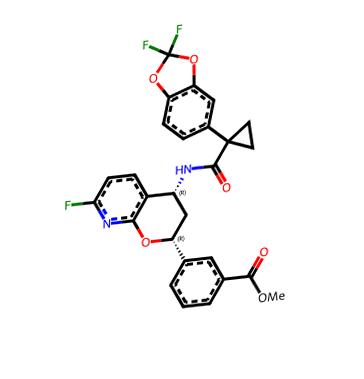 COC(=O)c1cccc([C@H]2C[C@@H](NC(=O)C3(c4ccc5c(c4)OC(F)(F)O5)CC3)c3ccc(F)nc3O2)c1